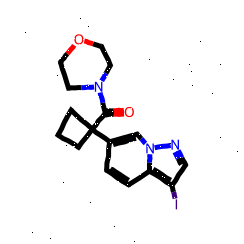 O=C(N1CCOCC1)C1(c2ccc3c(I)cnn3c2)CCC1